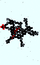 CCc1cc(OCCC[N+](C)(C)C)c(Cc2cc(OCCC[N+](C)(C)C)c(Cc3cc(OCCC[N+](C)(C)C)c(Cc4cc(OCCC[N+](C)(C)C)c(Cc5cc(OCCC[N+](C)(C)C)c(Cc6cc(OCCC[N+](C)(C)C)c(C)cc6OCCC[N+](C)(C)C)cc5OCCC[N+](C)(C)C)cc4OCCC[N+](C)(C)C)cc3OCCC[N+](C)(C)C)cc2OCCC[N+](C)(C)C)cc1OCCC[N+](C)(C)C